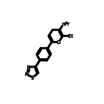 CCCC1=C(CC)OC(c2ccc(-c3csnn3)cc2)=CC1